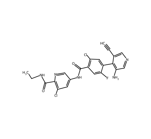 C#Cc1cncc(N)c1-c1cc(Cl)c(C(=O)Nc2cnc(C(=O)NCC)c(Cl)c2)cc1F